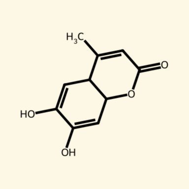 CC1=CC(=O)OC2C=C(O)C(O)=CC12